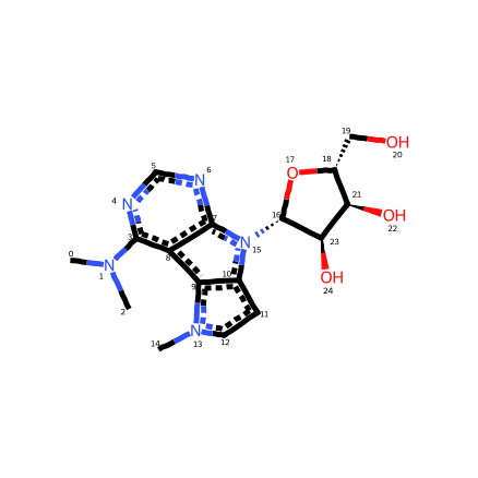 CN(C)c1ncnc2c1c1c(ccn1C)n2[C@@H]1O[C@H](CO)[C@@H](O)[C@H]1O